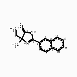 CCC1(C)N=C(c2ccc3ccccc3c2)OC1=O